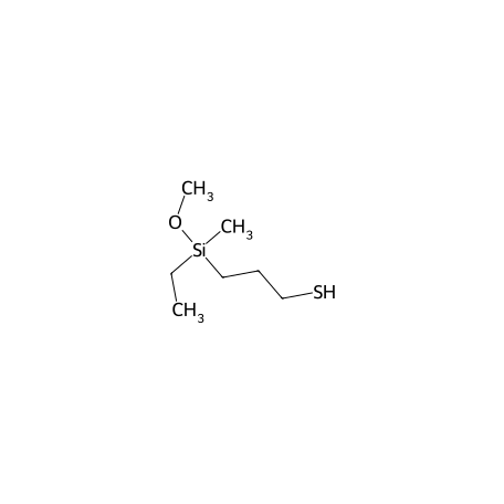 CC[Si](C)(CCCS)OC